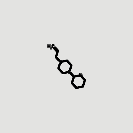 C=CCN1CCN(C2CCCC[N]2)CC1